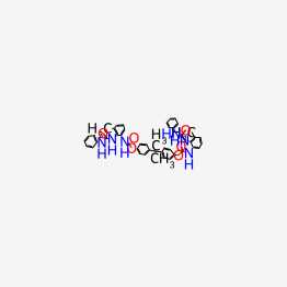 Cc1cccc(NC(=O)Oc2ccc(C(C)(C)c3ccc(OC(=O)Nc4cccc(C)c4NC(=O)Nc4ccccc4)cc3)cc2)c1NC(=O)Nc1ccccc1